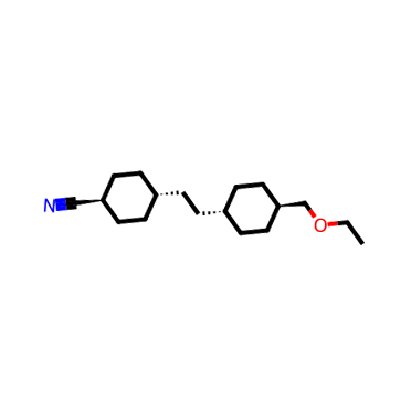 CCOC[C@H]1CC[C@H](CC[C@H]2CC[C@H](C#N)CC2)CC1